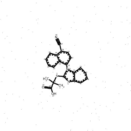 CC(C)(Sc1nc2ccccc2n1-c1ccc(C#N)c2ccccc12)C(=O)O